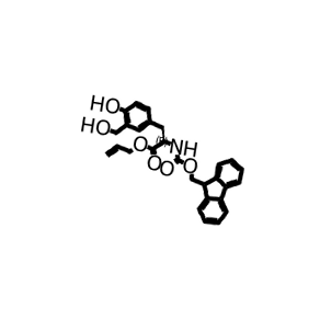 C=CCOC(=O)[C@@H](Cc1ccc(O)c(CO)c1)NC(=O)OCC1c2ccccc2-c2ccccc21